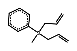 C=CC[Si](C)(CC=C)c1ccccc1